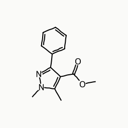 COC(=O)c1c(-c2ccccc2)nn(C)c1C